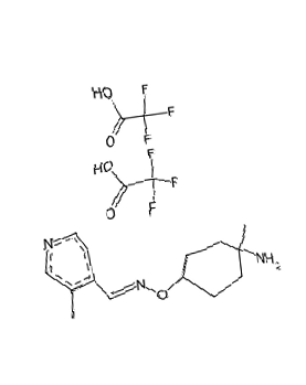 Cc1cnccc1C=NOC1CCC(C)(N)CC1.O=C(O)C(F)(F)F.O=C(O)C(F)(F)F